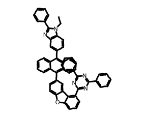 CCn1c(-c2ccccc2)nc2cc(-c3c4ccccc4c(-c4ccc5oc6cccc(-c7nc(-c8ccccc8)nc(-c8ccccc8)n7)c6c5c4)c4ccccc34)ccc21